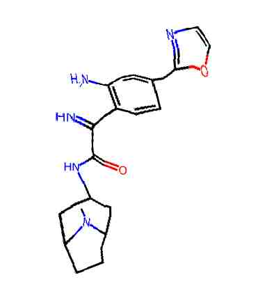 CN1C2CCC1CC(NC(=O)C(=N)c1ccc(-c3ncco3)cc1N)C2